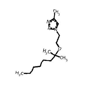 CCCCCCC(C)(C)OCCn1cc(C)nn1